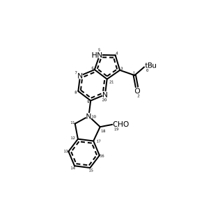 CC(C)(C)C(=O)c1c[nH]c2ncc(N3Cc4ccccc4C3C=O)nc12